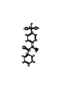 CS(=O)(=O)c1ccc(C(Br)C(=O)c2ccccc2)cc1